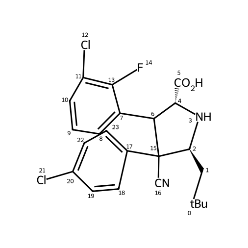 CC(C)(C)C[C@@H]1N[C@@H](C(=O)O)C(c2cccc(Cl)c2F)C1(C#N)c1ccc(Cl)cc1